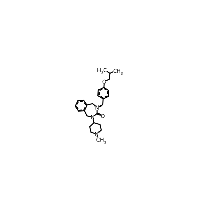 CC(C)COc1ccc(CN2Cc3ccccc3CN(C3CCN(C)CC3)C2=O)cc1